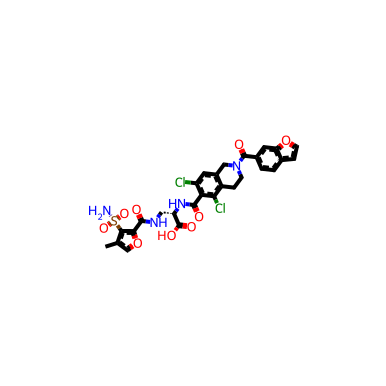 Cc1coc(C(=O)NC[C@H](NC(=O)c2c(Cl)cc3c(c2Cl)CCN(C(=O)c2ccc4ccoc4c2)C3)C(=O)O)c1S(N)(=O)=O